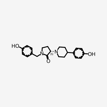 O=C1[C@@H](N2CCC(c3ccc(O)cc3)CC2)CCN1Cc1ccc(O)cc1